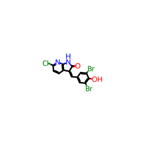 O=C1Nc2nc(Cl)ccc2C1=Cc1cc(Br)c(O)c(Br)c1